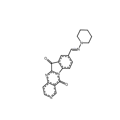 O=C1c2cc(/C=N/N3CCCCC3)ccc2-n2c1nc1ccncc1c2=O